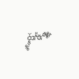 CC(C)c1ccc(N2CC(CS(C)(=O)=O)C2)c2cnc(Nc3ccnc(-c4cnn(S(=O)(=O)C5(C)CC5)c4)n3)cc12